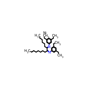 CCCCCCCCC(=Nc1cc(CC)cc(CC)c1)C(CCCCCC)=Nc1cc(CC)cc(CC)c1.[Ni]